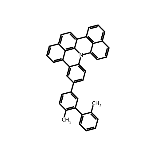 Cc1ccccc1-c1cc(-c2ccc3c(c2)-c2cccc4ccc5c(c24)N3c2cccc3cccc-5c23)ccc1C